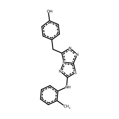 Cc1ccccc1Nc1nn2c(Cc3ccc(O)cc3)nnc2s1